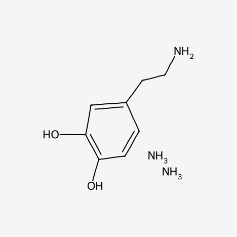 N.N.NCCc1ccc(O)c(O)c1